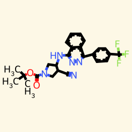 CC(C)(C)OC(=O)N1CC(C#N)C(Nc2nnc(-c3ccc(C(F)(F)F)cc3)c3ccccc23)C1